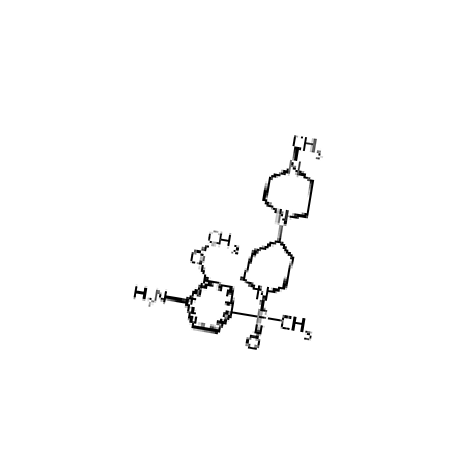 COc1cc(P(C)(=O)N2CCC(N3CCN(C)CC3)CC2)ccc1N